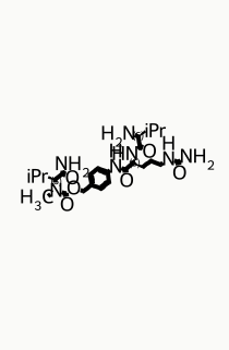 CC(C)[C@H](N)C(=O)N[C@@H](CCCNC(N)=O)C(=O)Nc1ccc(COC(=O)N(C)[C@H](C(N)=O)C(C)C)cc1